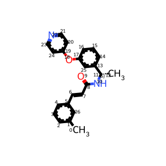 Cc1cccc(C=CC(=O)N[C@@H](C)c2cccc(Oc3ccncc3)c2)c1